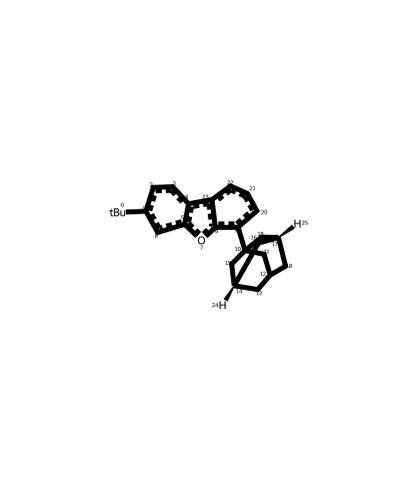 CC(C)(C)c1ccc2c(c1)oc1c(C34CC5C[C@H](C3)C[C@@H](C5)C4)cccc12